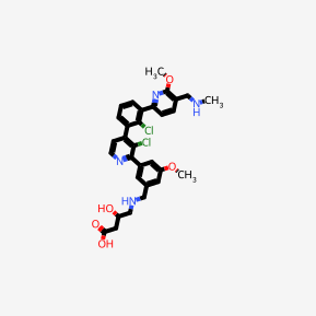 CNCc1ccc(-c2cccc(-c3ccnc(-c4cc(CNCC(O)CC(=O)O)cc(OC)c4)c3Cl)c2Cl)nc1OC